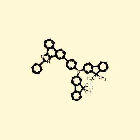 CC1(C)c2ccccc2-c2ccc(N(c3ccc(-c4ccc5c6ccccc6c6oc(-c7ccccc7)nc6c5c4)cc3)c3ccc4c(c3)C(C)(C)c3ccccc3-4)cc21